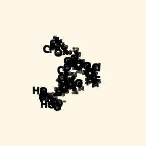 C=CCN(CC=C)C(=O)C(Cl)Cl.CCOc1cc(Oc2ccc(C(F)(F)F)cc2Cl)ccc1[N+](=O)[O-].CCc1cccc(C)c1N(C(=O)CCl)C(C)COC.C[S+](C)C.O=C(O)CNCP(=O)([O-])O